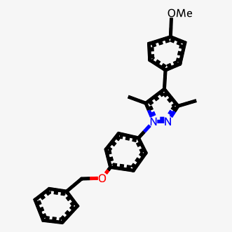 COc1ccc(-c2c(C)nn(-c3ccc(OCc4ccccc4)cc3)c2C)cc1